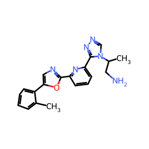 Cc1ccccc1-c1cnc(-c2cccc(-c3nncn3C(C)CN)n2)o1